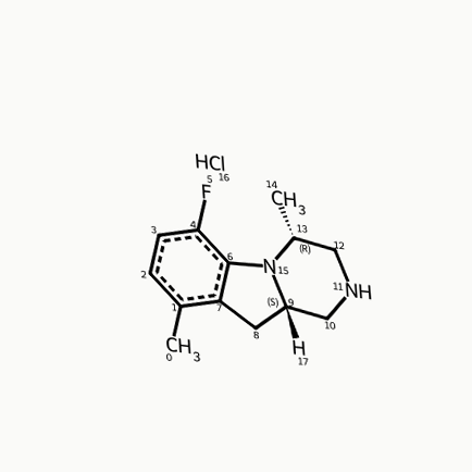 Cc1ccc(F)c2c1C[C@H]1CNC[C@@H](C)N21.Cl